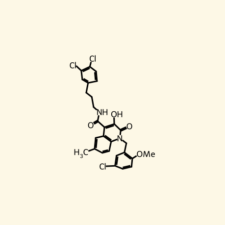 COc1ccc(Cl)cc1Cn1c(=O)c(O)c(C(=O)NCCCc2ccc(Cl)c(Cl)c2)c2cc(C)ccc21